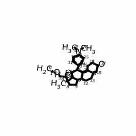 C=COCC(=O)[C@@]1(C)CCC2C3CCC4=CC(=O)CCC4=C3C(c3ccc(N(C)C)cc3)C[C@@]21C